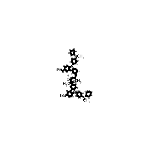 CCC(C)(/C(C)=C\C(C)Cc1ccc2c(c1)c1cc(CC(C)C)ccc1n2-c1ccc(N(C)c2ccccc2)cc1)c1ccc2c(c1)c1cc(C(C)(C)C)ccc1n2-c1ccc(N(C)c2ccccc2)cc1